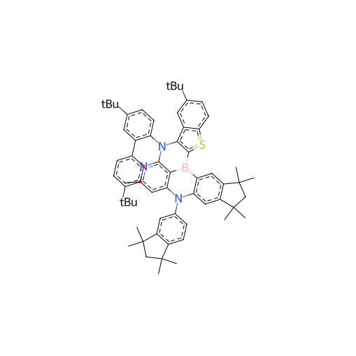 Cc1cc2c3c(n1)N(c1ccc(C(C)(C)C)cc1-c1ccc(C(C)(C)C)cc1)c1c(sc4ccc(C(C)(C)C)cc14)B3c1cc3c(cc1N2c1ccc2c(c1)C(C)(C)CC2(C)C)C(C)(C)CC3(C)C